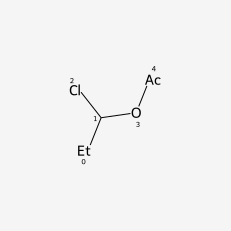 CCC(Cl)OC(C)=O